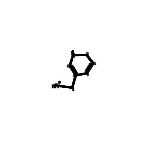 CCCCC1=[C]SCC=C1